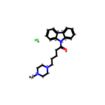 CN1CCN(CCCCC(=O)n2c3ccccc3c3ccccc32)CC1.Cl